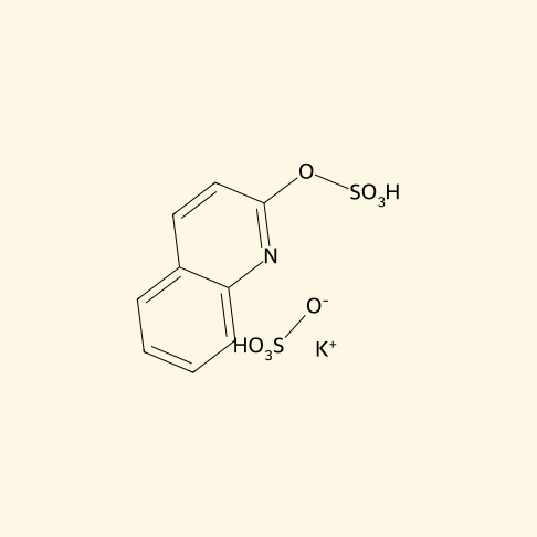 O=S(=O)(O)Oc1ccc2ccccc2n1.O=S(=O)([O-])O.[K+]